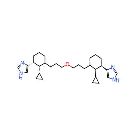 c1nc([C@@H]2CCCC(CCCOCCCC3CCC[C@@H](c4c[nH]cn4)[C@H]3C3CC3)[C@@H]2C2CC2)c[nH]1